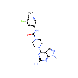 COc1ncc(NC(=O)N2CCN(c3nc(N)nc4c3cnn4C)[C@@H](C)C2)cc1F